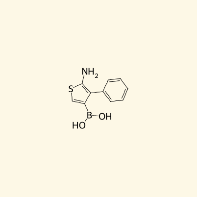 Nc1scc(B(O)O)c1-c1ccccc1